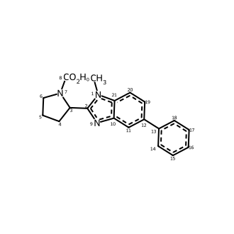 Cn1c(C2CCCN2C(=O)O)nc2cc(-c3ccccc3)ccc21